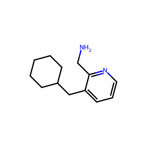 NCc1ncccc1CC1CCCCC1